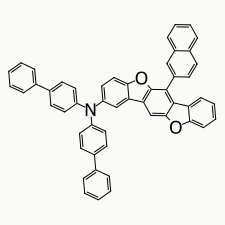 c1ccc(-c2ccc(N(c3ccc(-c4ccccc4)cc3)c3ccc4oc5c(-c6ccc7ccccc7c6)c6c(cc5c4c3)oc3ccccc36)cc2)cc1